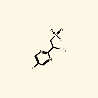 CC(CS(=O)(=O)F)c1ncc(F)cn1